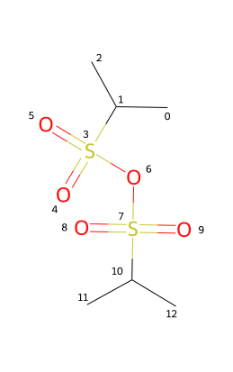 CC(C)S(=O)(=O)OS(=O)(=O)C(C)C